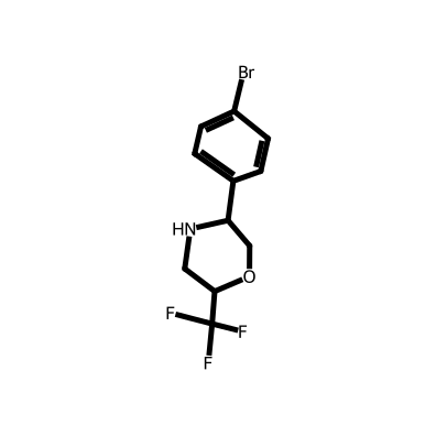 FC(F)(F)C1CNC(c2ccc(Br)cc2)CO1